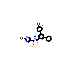 Cc1ccc(-c2cc(C(=O)N[C@H](CO)c3cnc(C)nc3)cc(C3CCCCC3)c2)cc1